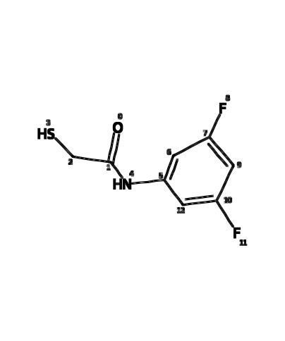 O=C(CS)Nc1cc(F)cc(F)c1